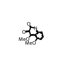 COC1=c2c(OC)cccc2=NC(=O)C1=O